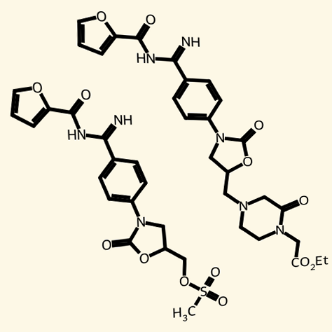 CCOC(=O)CN1CCN(CC2CN(c3ccc(C(=N)NC(=O)c4ccco4)cc3)C(=O)O2)CC1=O.CS(=O)(=O)OCC1CN(c2ccc(C(=N)NC(=O)c3ccco3)cc2)C(=O)O1